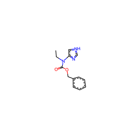 CCN(C(=O)OCc1ccccc1)c1c[nH]cn1